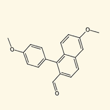 COc1ccc(-c2c(C=O)ccc3cc(OC)ccc23)cc1